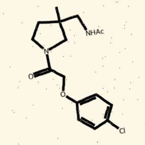 CC(=O)NCC1(C)CCN(C(=O)COc2ccc(Cl)cc2)C1